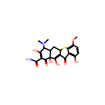 COc1ccc(O)c2c1SC1CC3C(N(C)C)C(O)=C(C(N)=O)C(=O)C3(O)C(O)=C1C2=O